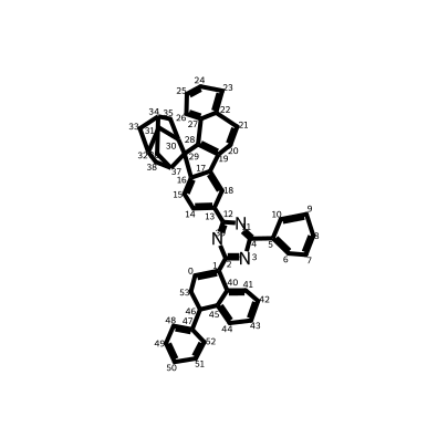 C1=C(c2nc(-c3ccccc3)nc(-c3ccc4c(c3)-c3ccc5ccccc5c3C43C4CC5CC(C4)CC3C5)n2)c2ccccc2C(c2ccccc2)C1